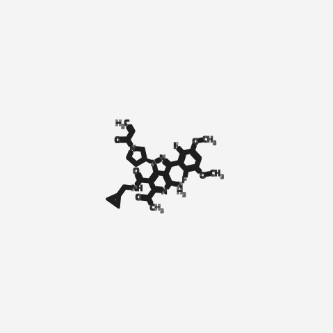 C=CC(=O)N1CC[C@H](n2nc(-c3c(F)c(OC)cc(OC)c3F)c3c(N)nc(C(C)=O)c(C(=O)NCC4CC4)c32)C1